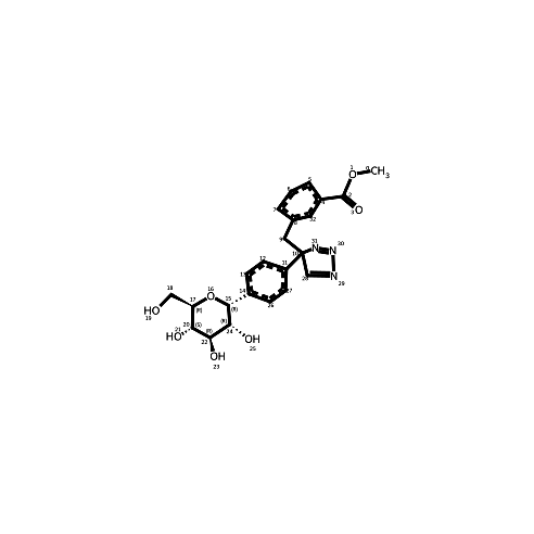 COC(=O)c1cccc(CC2(c3ccc([C@H]4O[C@H](CO)[C@@H](O)[C@H](O)[C@H]4O)cc3)C=NN=N2)c1